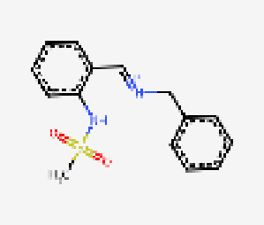 CS(=O)(=O)Nc1ccccc1/C=N/Cc1ccccc1